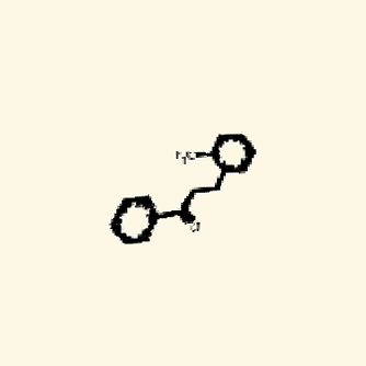 O=C(CCc1ccccc1C(F)(F)F)c1ccccc1